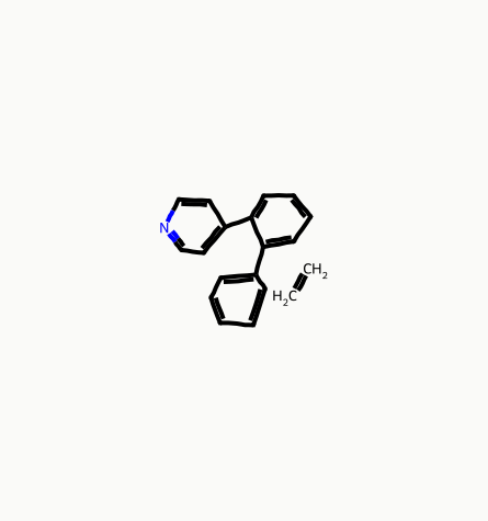 C=C.c1ccc(-c2ccccc2-c2ccncc2)cc1